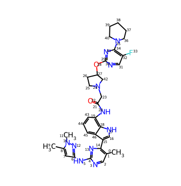 Cc1cnc(Nc2cc(C)n(C)n2)nc1-c1c[nH]c2c(NC(=O)CN3CCC(Oc4ncc(F)c(N5CCCCC5)n4)C3)cccc12